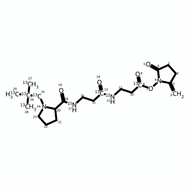 C=C1CCC(=O)N1O[13C](=O)CC[15NH][13C](=O)CC[15NH]C(=O)C1CCCN1[13CH2][13C]([13CH3])([13CH3])[13CH3]